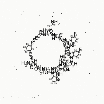 C[C@@]12CCCN1C(=O)[C@H](Cc1c[nH]c3ncccc13)NC(=O)[C@H](Cc1cnc[nH]1)NC(=O)[C@H](CC(=O)O)NC(=O)[C@H](Cc1c[nH]c3ccc(F)cc13)NC(=O)[C@H](Cc1c[nH]c3ccc(F)cc13)NC(=O)CNC(=O)[C@H](CCCCN)NC(=O)CCSCc1cccc(c1)CSC[C@@H](C(N)=O)NC2=O